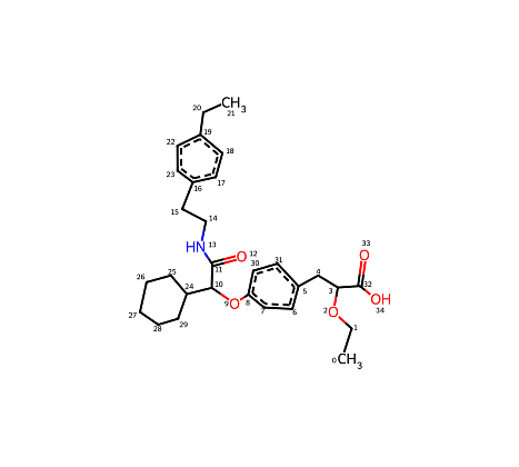 CCOC(Cc1ccc(OC(C(=O)NCCc2ccc(CC)cc2)C2CCCCC2)cc1)C(=O)O